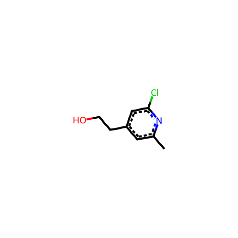 Cc1cc(CCO)cc(Cl)n1